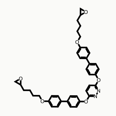 c1cc(-c2ccc(Oc3ccc(Oc4ccc(-c5ccc(OCCCCC6CO6)cc5)cc4)nn3)cc2)ccc1OCCCCC1CO1